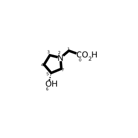 O=C(O)CN1CC[C@@H](O)C1